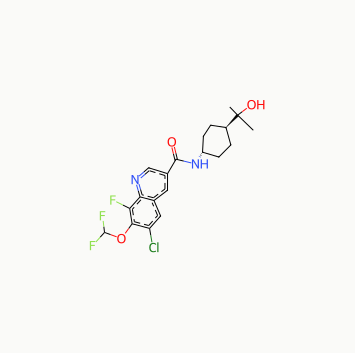 CC(C)(O)[C@H]1CC[C@H](NC(=O)c2cnc3c(F)c(OC(F)F)c(Cl)cc3c2)CC1